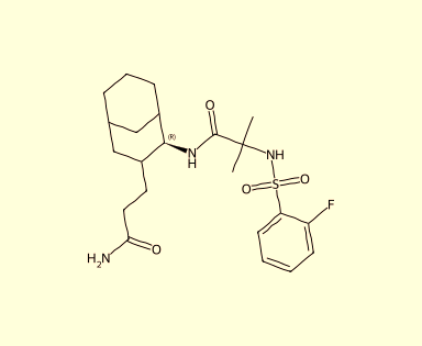 CC(C)(NS(=O)(=O)c1ccccc1F)C(=O)N[C@@H]1C2CCCC(C2)CC1CCC(N)=O